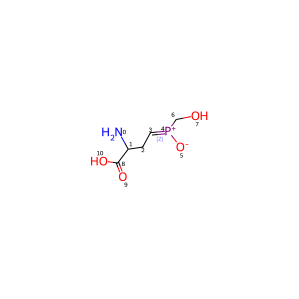 NC(C/C=[P+](\[O-])CO)C(=O)O